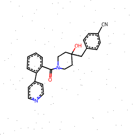 N#Cc1ccc(CC2(O)CCN(C(=O)c3ccccc3-c3ccncc3)CC2)cc1